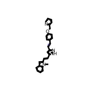 Cn1c(C=Cc2cc(/C=C/c3ccc(OCc4ccccn4)cc3)n[nH]2)cc2ccccc21